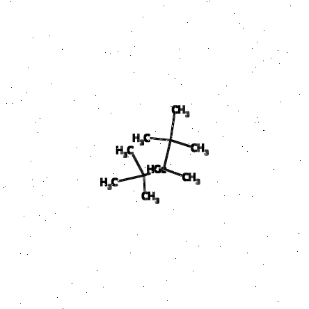 [CH3][GeH]([C](C)(C)C)[C](C)(C)C